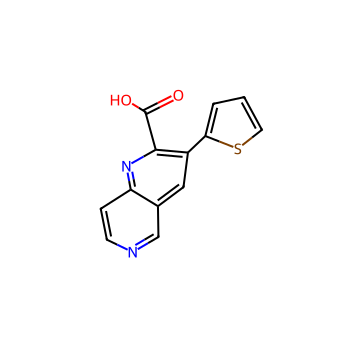 O=C(O)c1nc2ccncc2cc1-c1cccs1